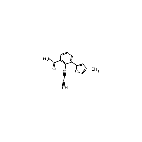 C#CC#Cc1c(C(N)=O)cccc1-c1cc(C)co1